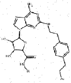 CCNC(=O)C1OC(n2cnc3c(N)nc(NCCc4ccc(CCC(C)=O)cc4)nc32)C(O)C1O